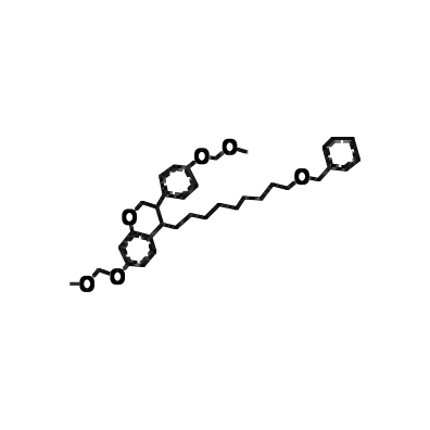 COCOc1ccc(C2COc3cc(OCOC)ccc3C2CCCCCCCCCOCc2ccccc2)cc1